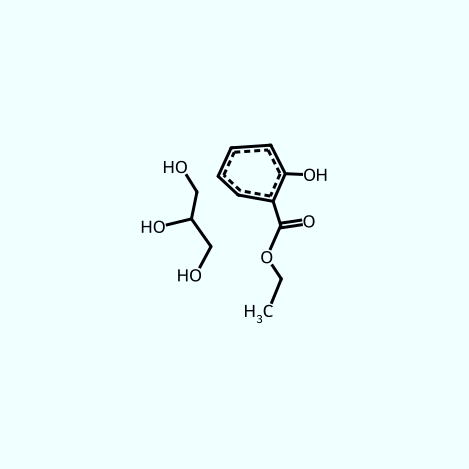 CCOC(=O)c1ccccc1O.OCC(O)CO